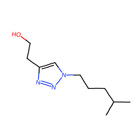 CC(C)CCCn1cc(CCO)nn1